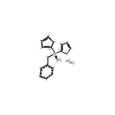 Cl.Cl.[SiH2]=[Hf]([CH2]c1ccccc1)([C]1=CC=CC1)[C]1=CC=CC1